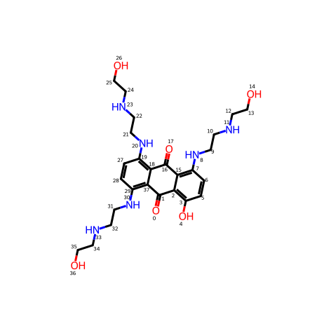 O=C1c2c(O)ccc(NCCNCCO)c2C(=O)c2c(NCCNCCO)ccc(NCCNCCO)c21